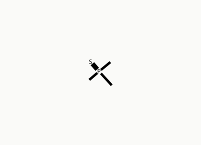 CP(C)(C)=S